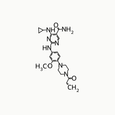 C=CC(=O)N1CCN(c2ccc(Nc3ncc(C(N)=O)c(NC4CC4)n3)cc2OC)CC1